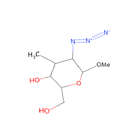 COC1OC(CO)C(O)C(C)C1N=[N+]=[N-]